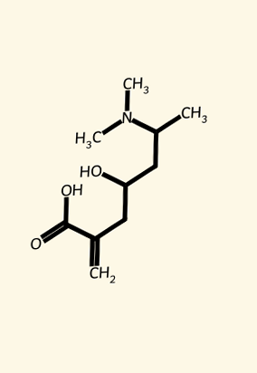 C=C(CC(O)CC(C)N(C)C)C(=O)O